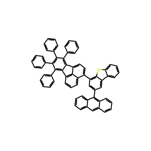 c1ccc(-c2c(-c3ccccc3)c(-c3ccccc3)c3c(c2-c2ccccc2)-c2cccc4c(-c5cc(-c6c7ccccc7cc7ccccc67)cc6c5sc5ccccc56)ccc-3c24)cc1